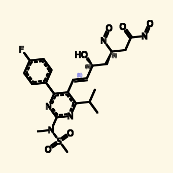 CC(C)c1nc(N(C)S(C)(=O)=O)nc(-c2ccc(F)cc2)c1/C=C/[C@@H](O)C[C@H](CC(=O)N=O)N=O